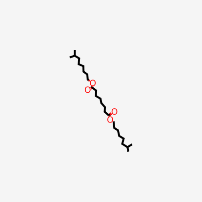 CC(C)CCCCCCOC(=O)CCCCCCC(=O)OCCCCCCC(C)C